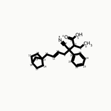 CCC(C(=O)O)C(C#N)(CC=CCC12CCC(CC1)C2)c1ccccc1